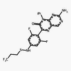 CC(C)n1c(=O)c(-c2c(F)cc(NSCCC(F)(F)F)cc2F)nc2cnc(N)nc21